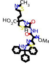 CON=C(C(=O)NC1C(=O)N2CC(C=Cc3cnc(C)s3)(C(=O)O)CS[C@H]12)c1csc(NC(c2ccccc2)(c2ccccc2)c2ccccc2)n1